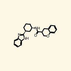 O=C(N[C@@H]1CCC[C@H](c2nc3ccccc3[nH]2)C1)C1COc2ccccc2C1